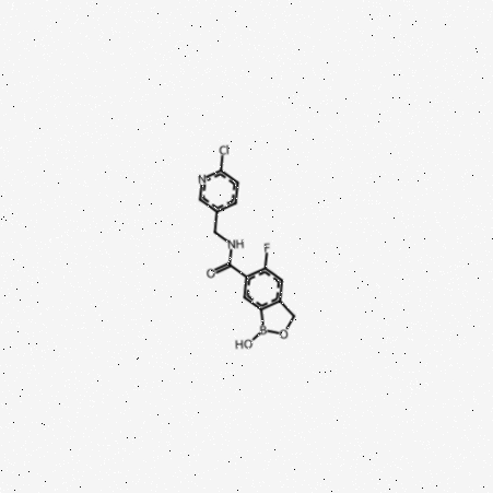 O=C(NCc1ccc(Cl)nc1)c1cc2c(cc1F)COB2O